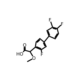 COC(C(=O)O)c1ccc(-c2ccc(F)c(F)c2)cc1F